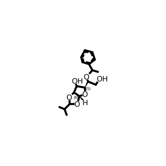 CC(OC(CO)[C@H]1O[C@@H]2OC(C(C)C)OC2C1O)c1ccccc1